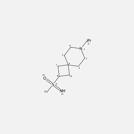 CC(C)N1CCC2(CC1)CC(S(C)(=N)=O)C2